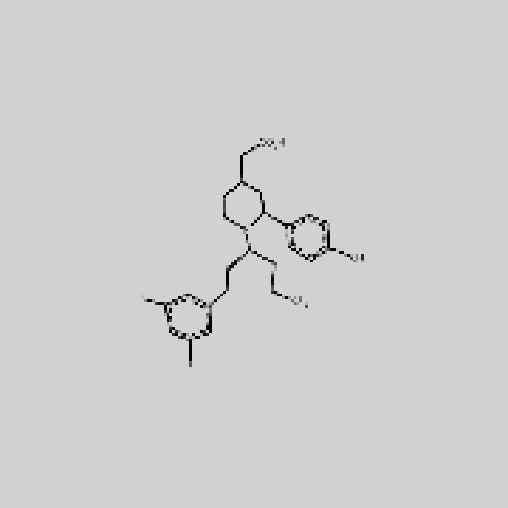 Cc1ccc([C@@H]2C[C@H](CC(=O)O)CCN2[C@H](CCc2cc(F)cc(F)c2)CCC(F)(F)F)cc1